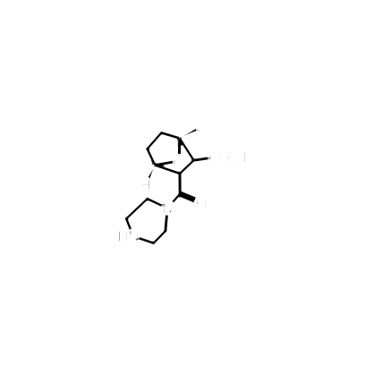 O=C(O)C1C(C(=O)N2CCNCC2)[C@@H]2CC[C@H]1O2